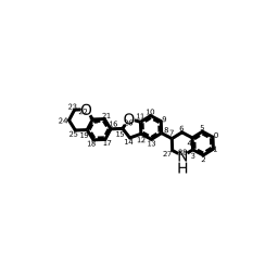 c1ccc2c(c1)CC(c1ccc3c(c1)CC(c1ccc4c(c1)OCCC4)O3)CN2